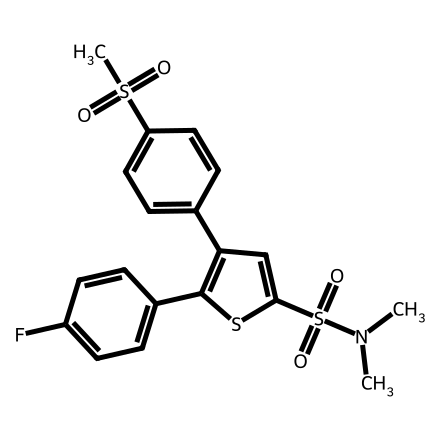 CN(C)S(=O)(=O)c1cc(-c2ccc(S(C)(=O)=O)cc2)c(-c2ccc(F)cc2)s1